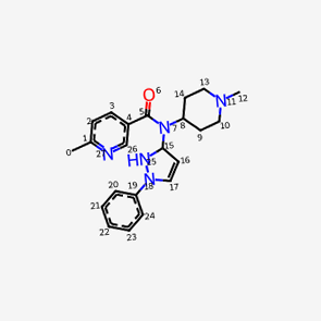 Cc1ccc(C(=O)N(C2CCN(C)CC2)C2C=CN(c3ccccc3)N2)cn1